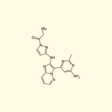 Cc1nc(N)cc(-c2c(Nc3ccn(C(=O)CC(C)(C)C)n3)nc3cccnn23)n1